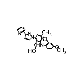 COc1ccc(Nc2nc(C)cc(-n3ccc(-c4nccs4)n3)c2CCO)c(Cl)c1